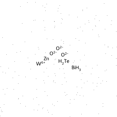 [BiH3].[O-2].[O-2].[O-2].[TeH2].[W+6].[Zn]